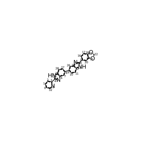 c1ccc(-c2nc3cc(-c4ccc5[nH]c(-c6ccc7c(c6)OCO7)nc5c4)ccc3[nH]2)nc1